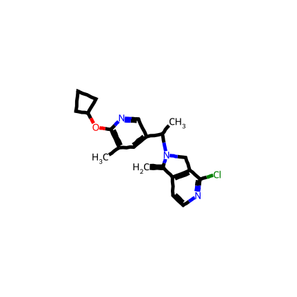 C=C1c2ccnc(Cl)c2CN1C(C)c1cnc(OC2CCC2)c(C)c1